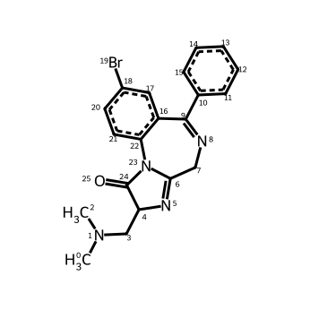 CN(C)CC1N=C2CN=C(c3ccccc3)c3cc(Br)ccc3N2C1=O